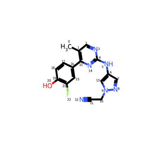 Cc1cnc(Nc2cnn(CC#N)c2)nc1-c1ccc(O)c(F)c1